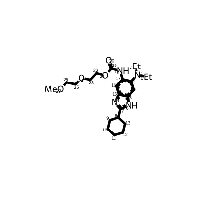 CCN(CC)c1cc2[nH]c(C3CCCCC3)nc2cc1NC(=O)OCCOCCOC